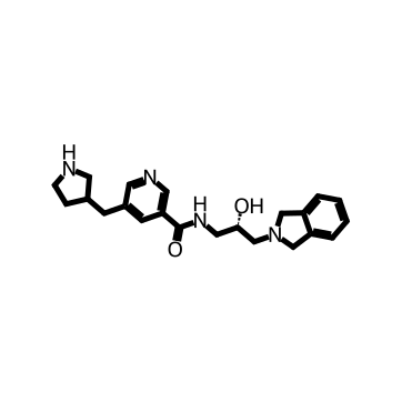 O=C(NC[C@H](O)CN1Cc2ccccc2C1)c1cncc(CC2CCNC2)c1